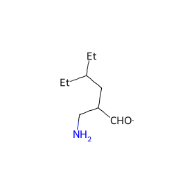 CCC(CC)CC([C]=O)CN